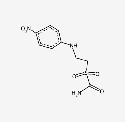 NC(=O)S(=O)(=O)CCNc1ccc([N+](=O)[O-])cc1